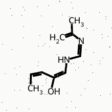 C=C(C)/N=C\N/C=C(O)\C=C/C